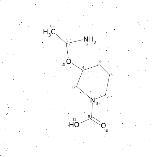 CC(N)OC1CCCN(C(=O)O)C1